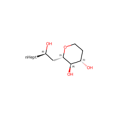 CCCCCCC[C@@H](O)C[C@@H]1OCC[C@H](O)[C@H]1O